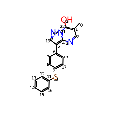 Cc1cnc2c(-c3ccc(Sc4ccccc4)cc3)cnn2c1O